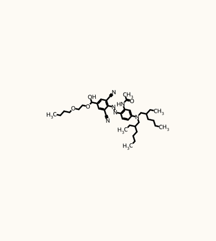 CCCCOCCOC(O)c1cc(C#N)c(N=Nc2ccc(N(CC(CC)CCCC)CC(CC)CCCC)cc2NC(C)=O)c(C#N)c1